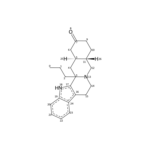 CCCC12C[C@H]3CC(=O)CC[C@@H]3CN1CCc1c2[nH]c2ccccc12